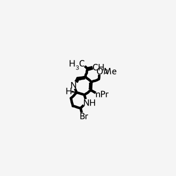 C=C(C)C1=C=N[C@H]2CCC(Br)NC2C(CCC)=C1COC